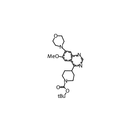 COc1cc2c(C3CCN(C(=O)OC(C)(C)C)CC3)ncnc2cc1N1CCOCC1